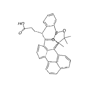 CC1(C)OB(c2ccccc2C(CCC(=O)O)c2ccc3c4cccc5cccc(c6cccc2c63)c54)OC1(C)C